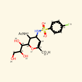 CC(=O)NC1C(NS(=O)(=O)c2ccc(F)cc2)C=C(C(=O)O)OC1C(O)C(O)CO